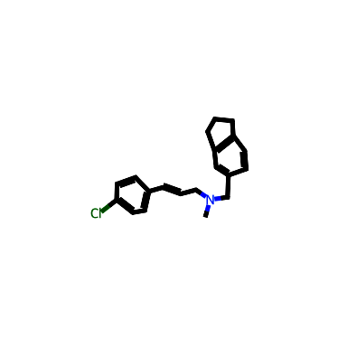 CN(C/C=C/c1ccc(Cl)cc1)Cc1ccc2c(c1)CCC2